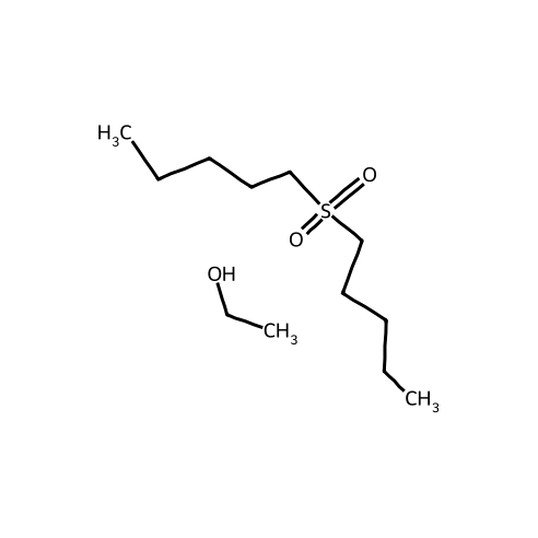 CCCCCS(=O)(=O)CCCCC.CCO